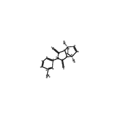 O=C1C2C(C(=O)N1c1cccc(C(F)(F)F)c1)[C@H]1C=C[C@@H]2C1